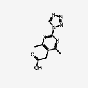 Cc1nc(-n2cnnn2)nc(C)c1CC(=O)O